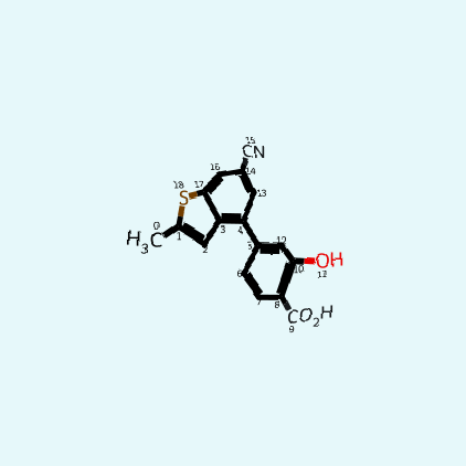 Cc1cc2c(-c3ccc(C(=O)O)c(O)c3)cc(C#N)cc2s1